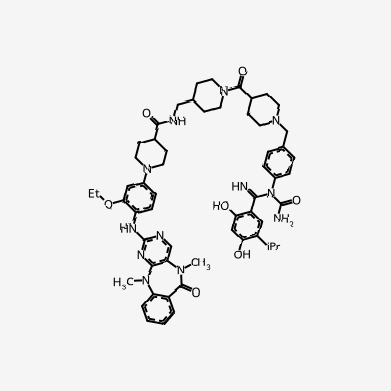 CCOc1cc(N2CCC(C(=O)NCC3CCN(C(=O)C4CCN(Cc5ccc(N(C(=N)c6cc(C(C)C)c(O)cc6O)C(N)=O)cc5)CC4)CC3)CC2)ccc1Nc1ncc2c(n1)N(C)c1ccccc1C(=O)N2C